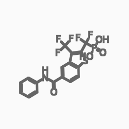 O=C(Nc1ccccc1)c1ccc2sc(C(F)(F)P(=O)(O)O)c(C(F)(F)F)c2c1